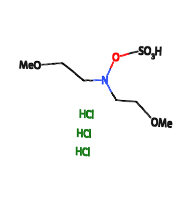 COCCN(CCOC)OS(=O)(=O)O.Cl.Cl.Cl